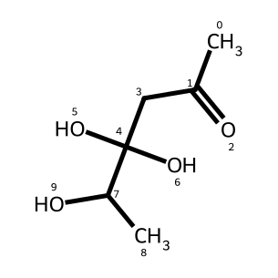 CC(=O)CC(O)(O)C(C)O